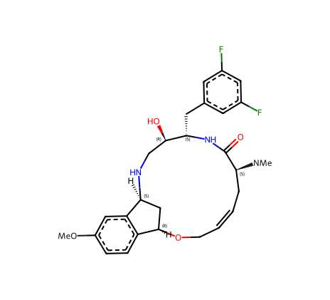 CN[C@H]1CC=CCO[C@@H]2C[C@H](NC[C@@H](O)[C@H](Cc3cc(F)cc(F)c3)NC1=O)c1cc(OC)ccc12